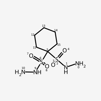 NNS(=O)(=O)C1(S(=O)(=O)NN)CCCCC1